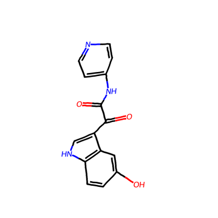 O=C(Nc1ccncc1)C(=O)c1c[nH]c2ccc(O)cc12